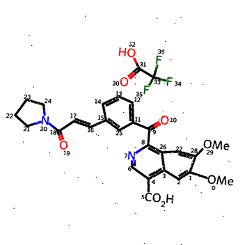 COc1cc2c(C(=O)O)cnc(C(=O)c3cccc(/C=C/C(=O)N4CCCC4)c3)c2cc1OC.O=C(O)C(F)(F)F